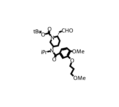 COCCCOc1cc(C(=O)N(C(C)C)[C@@H]2CC[C@@H](CC=O)N(C(=O)OC(C)(C)C)C2)ccc1OC